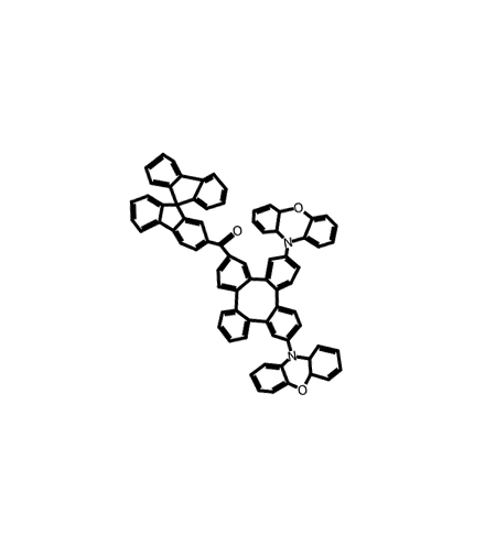 O=C(c1ccc2c(c1)-c1cc(N3c4ccccc4OC4C=CC=CC43)ccc1-c1ccc(N3c4ccccc4OC4C=CC=CC43)cc1-c1ccccc1-2)c1ccc2c(c1)C1(c3ccccc3-c3ccccc31)c1ccccc1-2